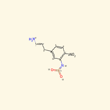 NC=CCc1ccc([N+](=O)[O-])c(N=S(=O)=O)c1